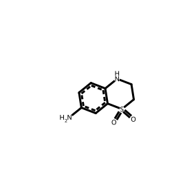 Nc1ccc2c(c1)S(=O)(=O)CCN2